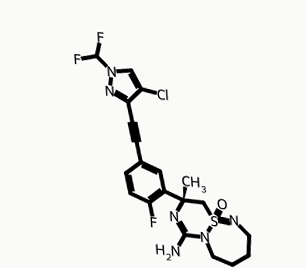 C[C@@]1(c2cc(C#Cc3nn(C(F)F)cc3Cl)ccc2F)CS2(=O)=NCCCCN2C(N)=N1